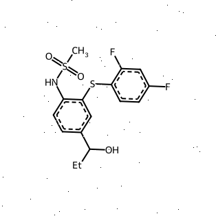 CCC(O)c1ccc(NS(C)(=O)=O)c(Sc2ccc(F)cc2F)c1